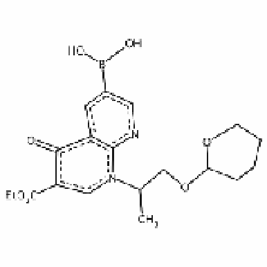 CCOC(=O)c1cn(C(C)COC2CCCCO2)c2ncc(B(O)O)cc2c1=O